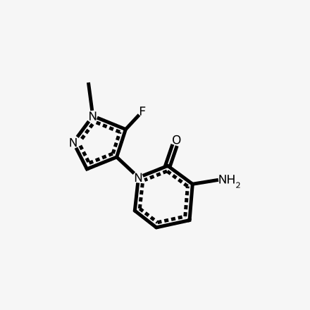 Cn1ncc(-n2cccc(N)c2=O)c1F